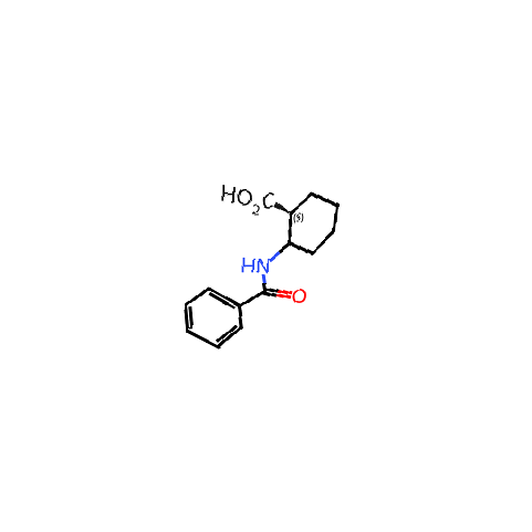 O=C(NC1CCCC[C@@H]1C(=O)O)c1ccccc1